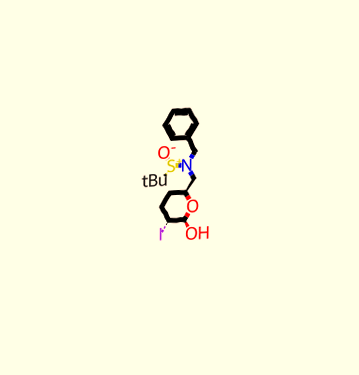 CC(C)(C)[S@@+]([O-])N(Cc1ccccc1)C[C@@H]1CC[C@@H](I)[C@H](O)O1